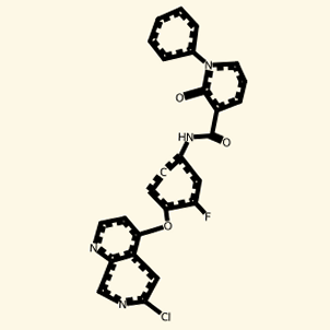 O=C(Nc1ccc(Oc2ccnc3cnc(Cl)cc23)c(F)c1)c1cccn(-c2ccccc2)c1=O